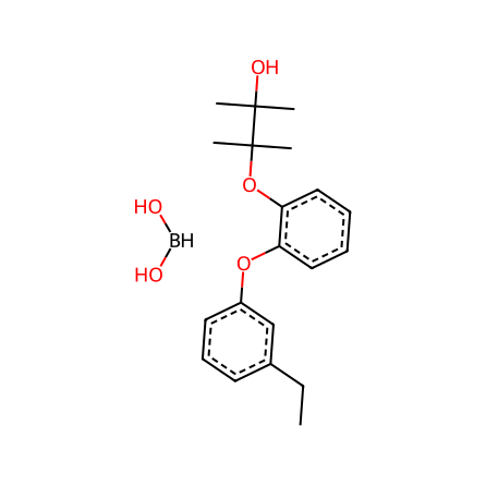 CCc1cccc(Oc2ccccc2OC(C)(C)C(C)(C)O)c1.OBO